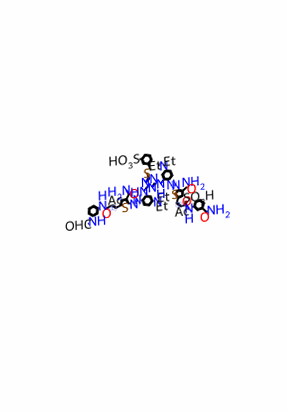 CCN(CC)c1ccc(/N=N/c2sc(/C=C(\C(C)=O)C(=O)Nc3cccc(NC=O)c3)cc2C(N)=O)c(Nc2nc(Nc3cc(N(CC)CC)ccc3/N=N/c3sc(/C=C(/C(C)=O)C(=O)Nc4cccc(C(N)=O)c4)c(S(=O)(=O)O)c3C(N)=O)nc(SCc3cccc(S(=O)(=O)O)c3)n2)c1